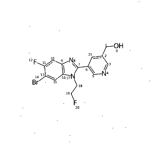 OCc1cncc(-c2nc3cc(F)c(Br)cc3n2CCF)c1